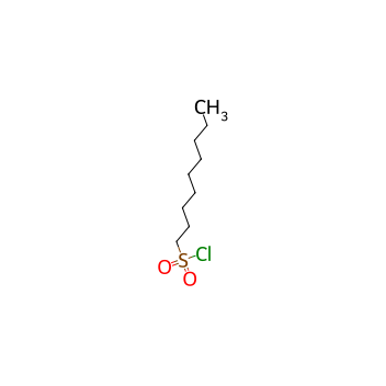 CCCCCCCCCS(=O)(=O)Cl